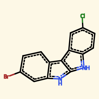 Clc1ccc2[nH]c3[nH]c4cc(Br)ccc4c3c2c1